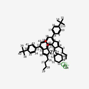 CCCCC1=Cc2c(-c3ccc(C(C)(C)C)cc3)cccc2[CH]1[Zr+2]1([CH]2C(CCCC)=Cc3c(-c4ccc(C(C)(C)C)cc4)cccc32)[CH]2CCCC[CH]21.[Cl-].[Cl-]